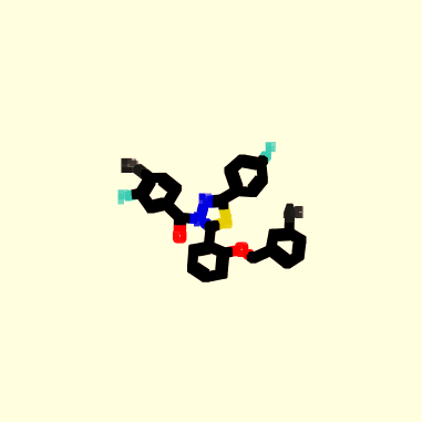 CCc1ccc(C(=O)N2N=C(c3ccc(F)cc3)SC2c2ccccc2OCc2cccc(C(C)=O)c2)cc1F